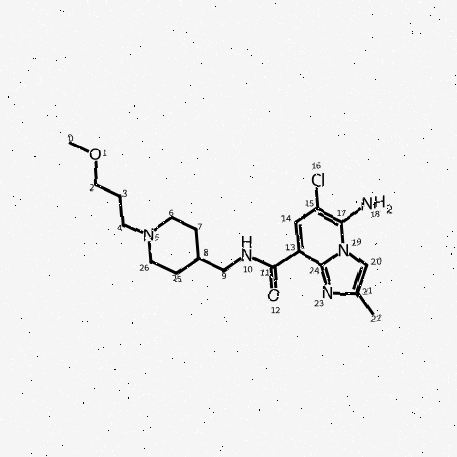 COCCCN1CCC(CNC(=O)c2cc(Cl)c(N)n3cc(C)nc23)CC1